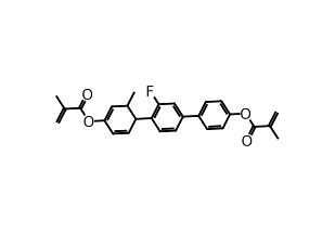 C=C(C)C(=O)OC1=CC(C)C(c2ccc(-c3ccc(OC(=O)C(=C)C)cc3)cc2F)C=C1